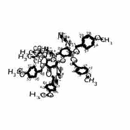 COc1ccc(CO[C@@H]2[C@@H](OCc3ccc(OC)cc3)[C@H](N=[N+]=[N-])C[C@H](N=[N+]=[N-])[C@H]2O[C@H]2O[C@H](CO[Si](C(C)C)(C(C)C)C(C)C)[C@@H](OCc3ccc(OC)cc3)[C@H](OCc3ccc(OC)cc3)[C@H]2N=[N+]=[N-])cc1